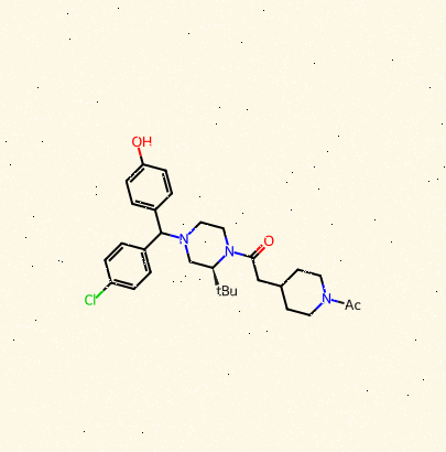 CC(=O)N1CCC(CC(=O)N2CCN(C(c3ccc(O)cc3)c3ccc(Cl)cc3)C[C@@H]2C(C)(C)C)CC1